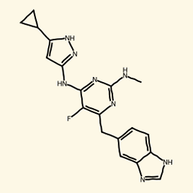 CNc1nc(Cc2ccc3[nH]cnc3c2)c(F)c(Nc2cc(C3CC3)[nH]n2)n1